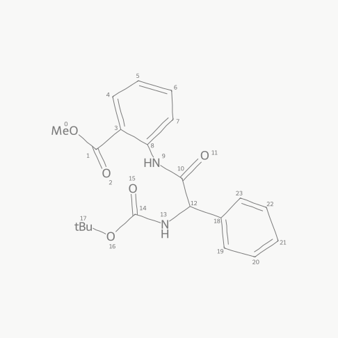 COC(=O)c1ccccc1NC(=O)C(NC(=O)OC(C)(C)C)c1ccccc1